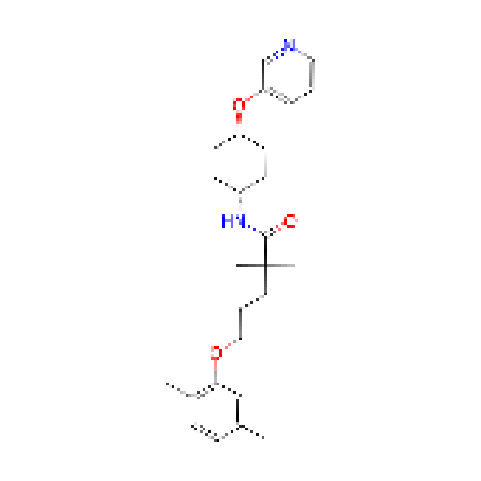 Cc1ccc(C)c(OCCCC(C)(C)C(=O)N[C@H]2CC[C@H](Oc3cccnc3)CC2)c1